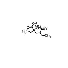 CCC(CC(C)(CC)C(=O)O)C(=O)O